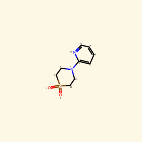 O=S1(=O)CCN(c2c[c]ccn2)CC1